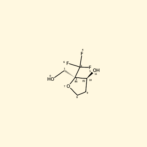 OC[C@@]1(C(F)(F)F)OCC[C@@H]1O